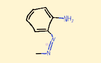 C/N=N\c1ccccc1N